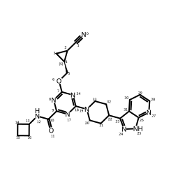 N#CC1C[C@@H]1COc1nc(C(=O)NC2CCC2)nc(N2CCC(c3n[nH]c4ncccc34)CC2)n1